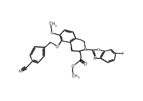 COC(=O)C1Cc2c(ccc(OC)c2OCc2ccc(C#N)cc2)CN1c1nc2ccc(F)cc2o1